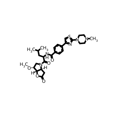 CO[C@@H]1CN(C(=O)C(CC(C)C)NC(=O)c2ccc(-c3csc(N4CCN(C)CC4)n3)cc2)[C@H]2CC(=O)O[C@H]12